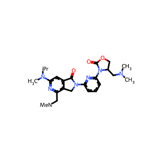 CNCc1nc(N(C)C(C)C)cc2c1CN(c1cccc(N3C(=O)OCC3CN(C)C)n1)C2=O